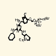 CCN1CCCC1CNc1nc(Nc2ccc(OCOP(=O)(OC(C)(C)C)OC(C)(C)C)c(F)c2)nc(NC2CCCCCC2)n1